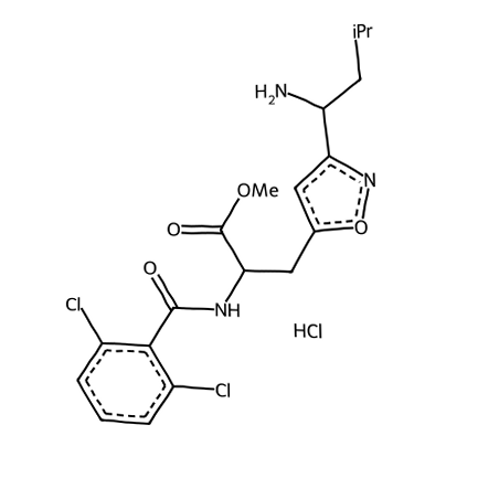 COC(=O)C(Cc1cc(C(N)CC(C)C)no1)NC(=O)c1c(Cl)cccc1Cl.Cl